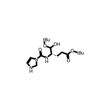 CC(C)(C)OC(=O)CC[C@H](NC(=O)N1C=CNC1)C(O)OC(C)(C)C